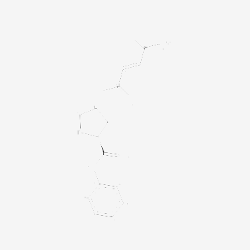 COC(=O)/C=C/C(=O)O[C@H]1CN[C@H](C(=O)Oc2ccccc2)C1